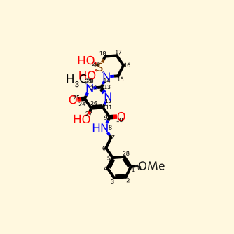 COc1cccc(CCNC(=O)c2nc(N3CCCCS3(O)O)n(C)c(=O)c2O)c1